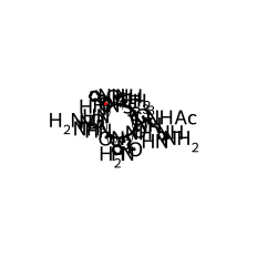 CC(=O)N[C@@H](CCCNC(=N)N)C(=O)N[C@H]1CCSSC(C)(C)[C@@H](C(N)=O)NC(=O)[C@H](Cc2c[nH]c3ccccc23)NC(=O)[C@H](CCCNC(=N)N)NC(=O)[C@@H](Cc2ccccc2)NC(=O)[C@H](CCC(N)=O)NC1=O